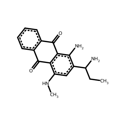 CCC(N)c1cc(NC)c2c(c1N)C(=O)c1ccccc1C2=O